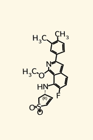 COc1nc(-c2ccc(C)c(C)c2)cc2ccc(F)c(N[C@@H]3C=CS(=O)(=O)C3)c12